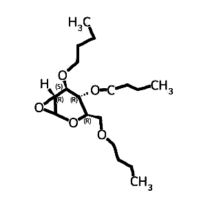 CCCCOC[C@H]1OC2O[C@@H]2[C@@H](OCCCC)[C@@H]1OCCCC